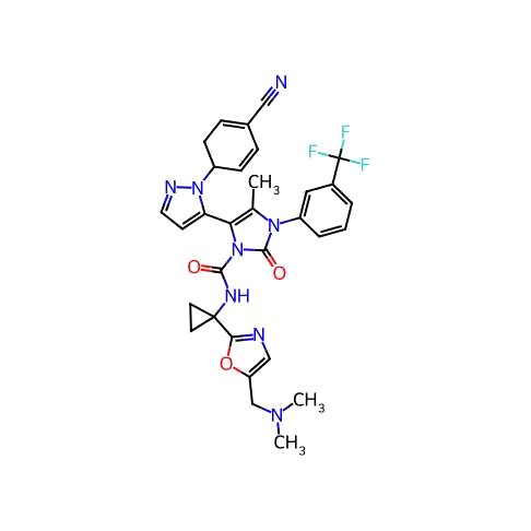 Cc1c(-c2ccnn2C2C=CC(C#N)=CC2)n(C(=O)NC2(c3ncc(CN(C)C)o3)CC2)c(=O)n1-c1cccc(C(F)(F)F)c1